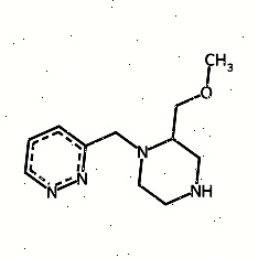 COCC1CNCCN1Cc1cccnn1